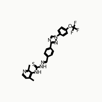 Cc1ccnc(C)c1NC(=S)N/N=C/c1ccc(-c2ncn(-c3ccc(OC(F)(F)F)cc3)n2)cc1